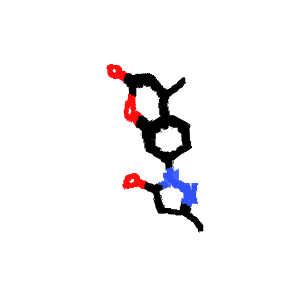 CC1=NN(c2ccc3c(C)cc(=O)oc3c2)C(=O)C1